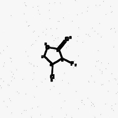 O=C1OCC(Cl)C1F